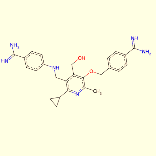 Cc1nc(C2CC2)c(CNc2ccc(C(=N)N)cc2)c(CO)c1OCc1ccc(C(=N)N)cc1